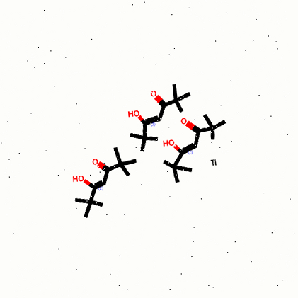 CC(C)(C)C(=O)/C=C(\O)C(C)(C)C.CC(C)(C)C(=O)/C=C(\O)C(C)(C)C.CC(C)(C)C(=O)/C=C(\O)C(C)(C)C.[Ti]